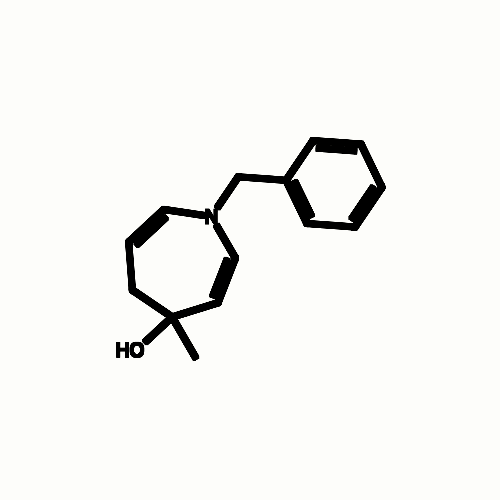 CC1(O)C=CN(Cc2ccccc2)C=CC1